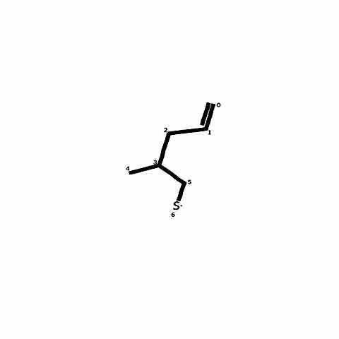 C=CCC(C)C[S]